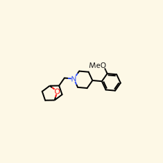 COc1ccccc1C1CCN(CC2CC3CCC2O3)CC1